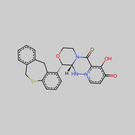 O=C1c2c(O)c(=O)ccn2N[C@@H]2[C@H](c3cccc4c3Cc3ccccc3CS4)OCCN12